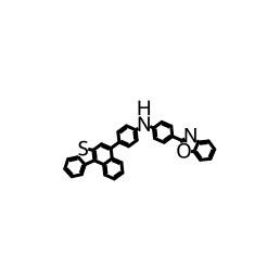 c1ccc2oc(-c3ccc(Nc4ccc(-c5cc6sc7ccccc7c6c6ccccc56)cc4)cc3)nc2c1